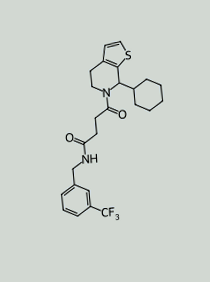 O=C(CCC(=O)N1CCc2ccsc2C1C1CCCCC1)NCc1cccc(C(F)(F)F)c1